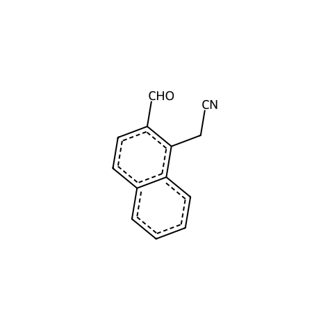 N#CCc1c(C=O)ccc2ccccc12